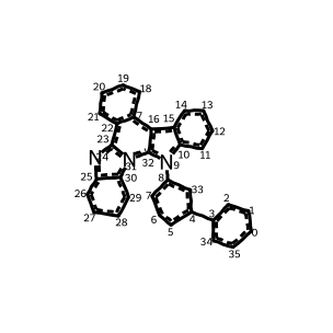 c1ccc(-c2cccc(-n3c4ccccc4c4c5ccccc5c5nc6ccccc6n5c43)c2)cc1